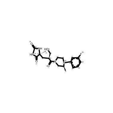 C[C@H]1CN(C(=O)[C@H](CO)C[C@]2(C)NC(=O)NC2=O)CCN1c1cccc(F)c1